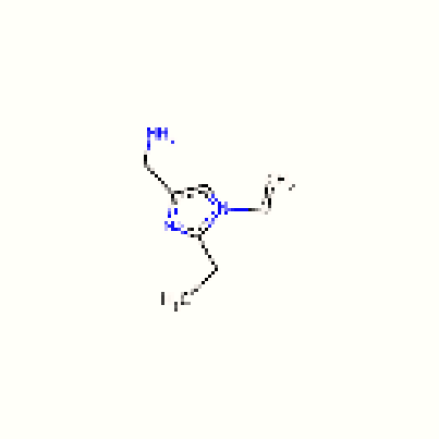 C=Cn1cc(CN)nc1CC